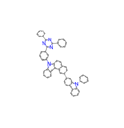 c1ccc(-c2nc(-c3ccccc3)nc(-c3cccc(-n4c5ccccc5c5c6cc(-c7ccc8c9ccccc9n(-c9ccccc9)c8c7)ccc6ccc54)c3)n2)cc1